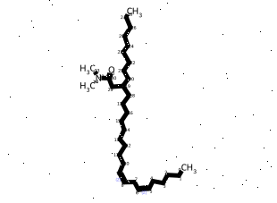 CCCCC/C=C\C/C=C\CCCCCCCCCC(CCCCCCCCC)CC(=O)N(C)C